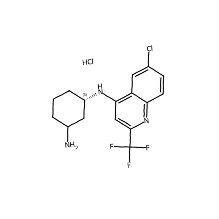 Cl.NC1CCC[C@H](Nc2cc(C(F)(F)F)nc3ccc(Cl)cc23)C1